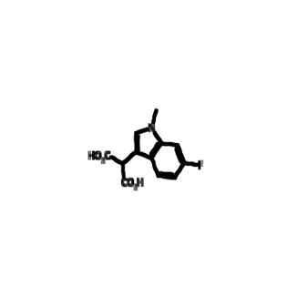 Cn1cc(C(C(=O)O)C(=O)O)c2ccc(F)cc21